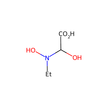 CCN(O)C(O)C(=O)O